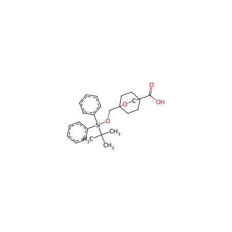 CC(C)(C)[Si](OCC12CCC(C(=O)O)(CC1)CO2)(c1ccccc1)c1ccccc1